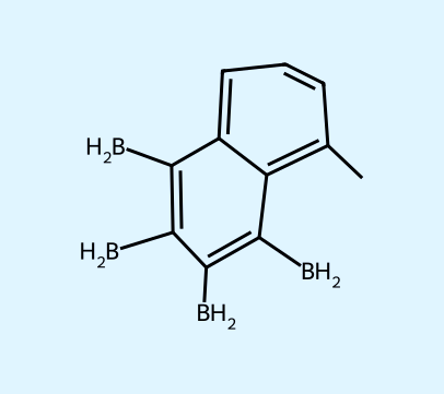 Bc1c(B)c(B)c2c(C)cccc2c1B